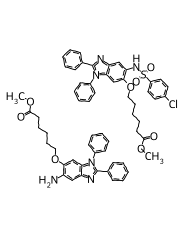 COC(=O)CCCCCOc1cc2c(cc1N)nc(-c1ccccc1)n2-c1ccccc1.COC(=O)CCCCCOc1cc2c(cc1NS(=O)(=O)c1ccc(Cl)cc1)nc(-c1ccccc1)n2-c1ccccc1